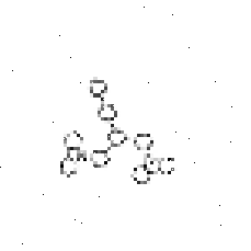 C1=CC2C3=C(CCC=C3)N(c3cccc(-c4cc(-c5ccc(-c6ccccc6)cc5)cc(-c5cccc(N6C7=C(C=CCC7)C7C=CC=CC76)c5)c4)c3)C2C=C1